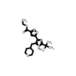 CCOC(=O)c1cc(-c2nc(C(C)(C)C)[nH]c2CC2CCOCC2)on1